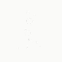 COC(=O)C1C(C(=O)OC)N1c1ccc(Cc2ccc(C(C)(C)C)cc2)cc1